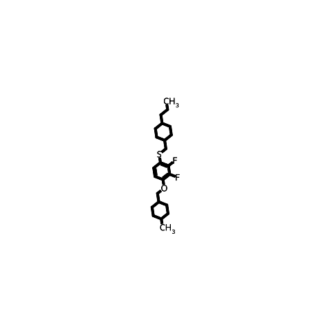 CCCC1CCC(CSc2ccc(OCC3CCC(C)CC3)c(F)c2F)CC1